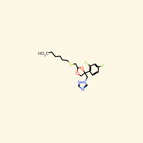 O=C(O)CCCCCSCC1OCC(Cn2cncn2)(c2ccc(F)cc2F)O1